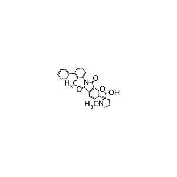 Cc1c(-c2ccccc2)cccc1N1C(=O)c2ccc([C@@]3(C(=O)O)CCCN3C)cc2C1=O